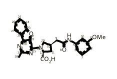 COc1cccc(NC(=O)C[C@H]2C[C@@H](C(=O)O)N(c3nc(C)nc4c3oc3ccccc34)C2)c1